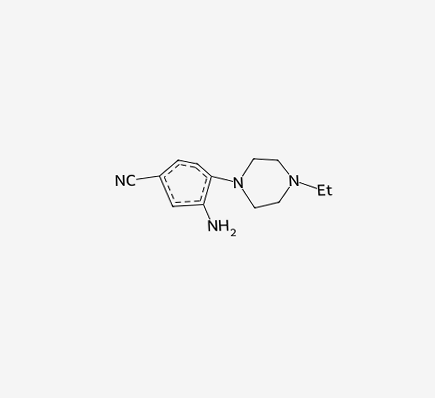 CCN1CCN(c2ccc(C#N)cc2N)CC1